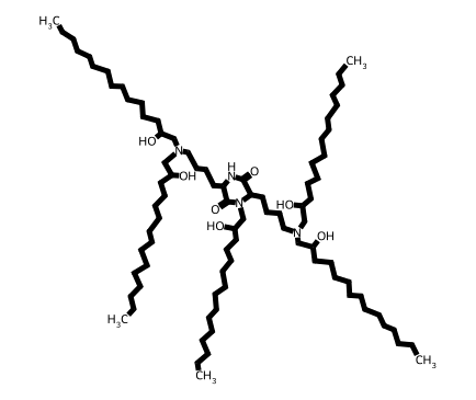 CCCCCCCCCCCCCC(O)CN(CCCCC1NC(=O)C(CCCCN(CC(O)CCCCCCCCCCCCC)CC(O)CCCCCCCCCCCCC)N(CC(O)CCCCCCCCCCCCC)C1=O)CC(O)CCCCCCCCCCCCC